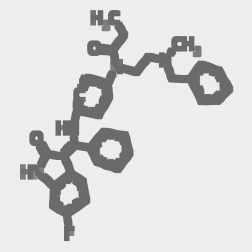 CCC(=O)N(CCN(C)Cc1ccccc1)c1ccc(N/C(=C2\C(=O)Nc3cc(F)ccc32)c2ccccc2)cc1